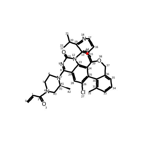 C=CC(=O)N1CCN(c2nc(=O)n(-c3c(C)ccnc3C(C)C)c3c4c(c(Cl)cc23)-c2c(C)cccc2COC4=O)[C@@H](C)C1